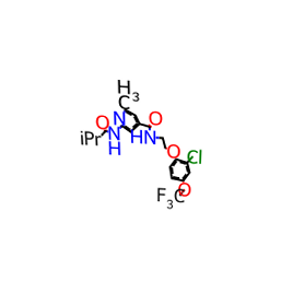 Cc1cc(C(=O)NCCOc2ccc(OC(F)(F)F)cc2Cl)cc(NC(=O)C(C)C)n1